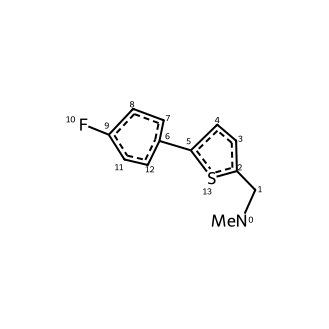 CNCc1ccc(-c2ccc(F)cc2)s1